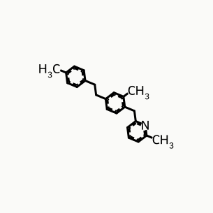 Cc1ccc(CCc2ccc(Cc3cccc(C)n3)c(C)c2)cc1